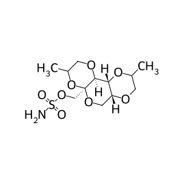 CC1CO[C@@H]2CO[C@@]3(COS(N)(=O)=O)OC(C)CO[C@H]3[C@@H]2O1